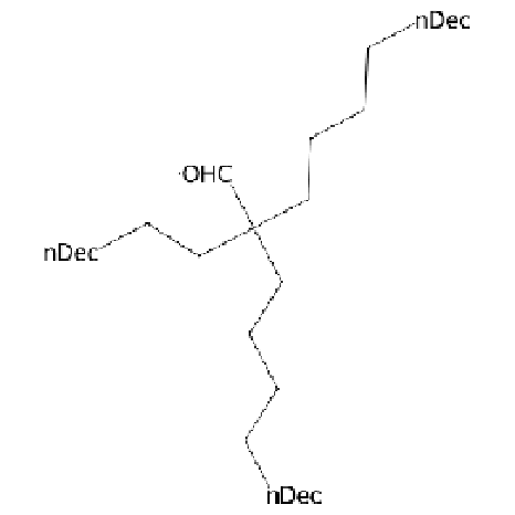 CCCCCCCCCCCCCCC([C]=O)(CCCCCCCCCCCC)CCCCCCCCCCCCCC